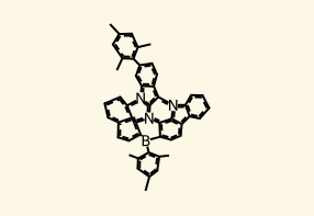 Cc1cc(C)c(B2c3ccc4cccc5c4c3n3c4c2ccc2c6ccccc6n(c24)c2c4ccc(-c6c(C)cc(C)cc6C)cc4n5c23)c(C)c1